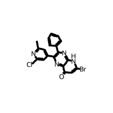 Cc1cc(-c2nc3c(=O)cc(Br)[nH]c3nc2-c2ccccc2)cc(Cl)n1